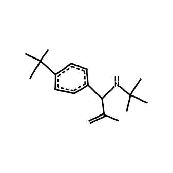 C=C(C)C(NC(C)(C)C)c1ccc(C(C)(C)C)cc1